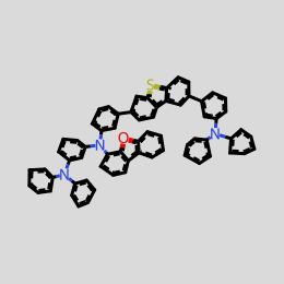 c1ccc(N(c2ccccc2)c2cccc(-c3ccc4sc5cc(-c6cccc(N(c7cccc(N(c8ccccc8)c8ccccc8)c7)c7cccc8c7oc7ccccc78)c6)ccc5c4c3)c2)cc1